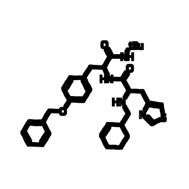 CC(C)(C)NC(=O)C(Cc1ccc(OCc2ccccc2)cc1)NC(=O)C(Cc1cscn1)NCC1C=CCCC1